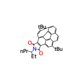 CCCC(CC)n1c(=O)c2c3cc(C(C)(C)C)c4ccc5ccc6c(C(C)(C)C)cc(c2c1=O)c1c6c5c4c31